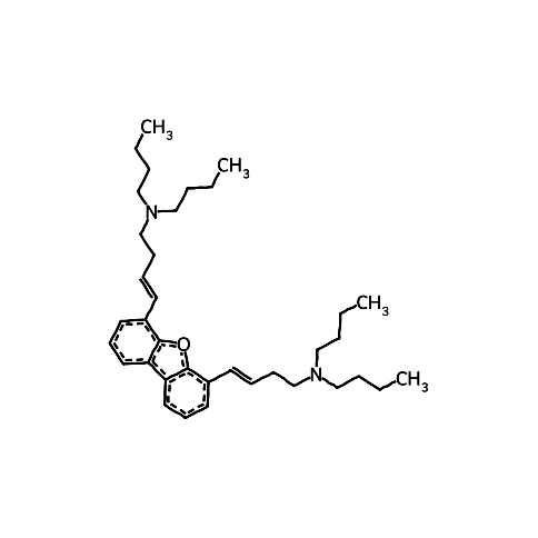 CCCCN(CC/C=C/c1cccc2c1oc1c(/C=C/CCN(CCCC)CCCC)cccc12)CCCC